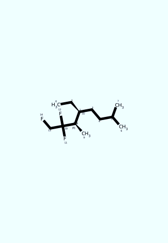 CC[C@@H](CCC(C)C)[C@@H](C)C(F)(F)CF